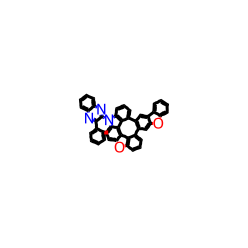 c1ccc(-c2nc3ccccc3nc2-n2c3cccc4c5cc6c(cc5c5cccc7oc8ccc2c(c8c75)c43)oc2ccccc26)cc1